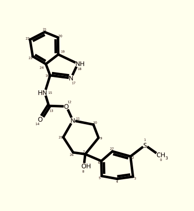 CSc1cccc(C2(O)CCN(OC(=O)Nc3n[nH]c4ccccc34)CC2)c1